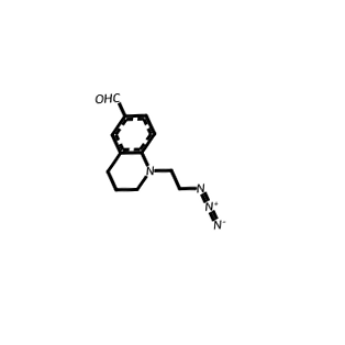 [N-]=[N+]=NCCN1CCCc2cc(C=O)ccc21